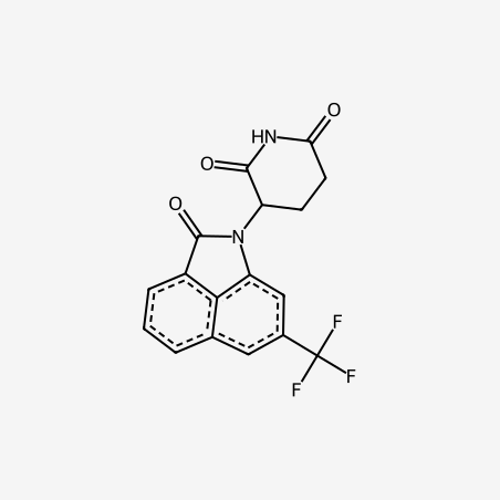 O=C1CCC(N2C(=O)c3cccc4cc(C(F)(F)F)cc2c34)C(=O)N1